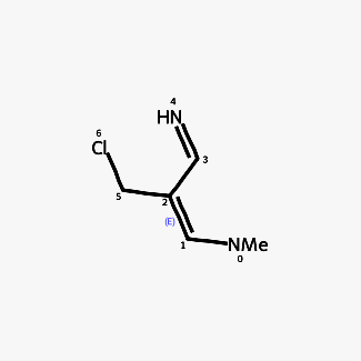 CN/C=C(\C=N)CCl